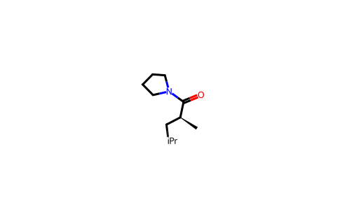 CC(C)C[C@H](C)C(=O)N1CCCC1